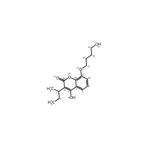 CCC(C)c1c(O)c2cccc(OCCCCO)c2oc1=O